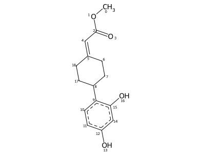 COC(=O)C=C1CCC(c2ccc(O)cc2O)CC1